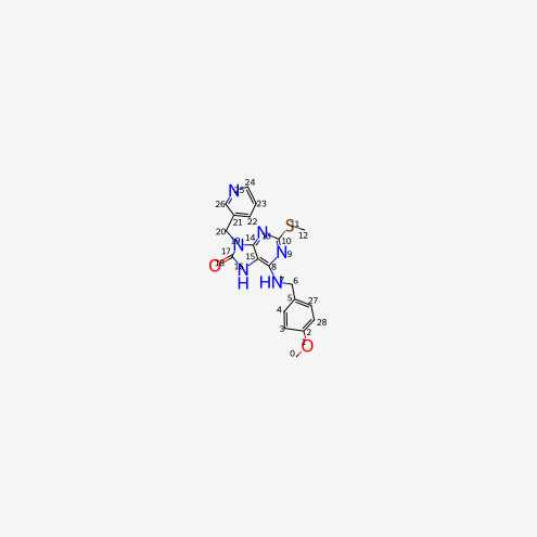 COc1ccc(CNc2nc(SC)nc3c2[nH]c(=O)n3Cc2cccnc2)cc1